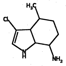 CC1CCC(N)C2NC=C(Cl)C12